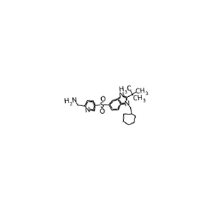 CC(C)(C)c1nc2cc(S(=O)(=O)c3ccc(CN)nc3)ccc2n1CC1CCCCC1